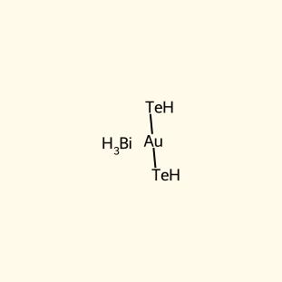 [BiH3].[TeH][Au][TeH]